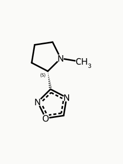 CN1CCC[C@H]1c1ncon1